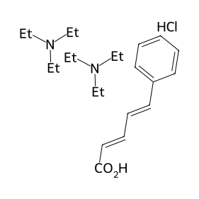 CCN(CC)CC.CCN(CC)CC.Cl.O=C(O)C=CC=Cc1ccccc1